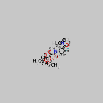 CC(=O)O[C@@H](C(=O)OC(C)(C)C)[C@H]1OCCN(c2ccc(F)c(C(=O)N(C)C)c2)C1=O